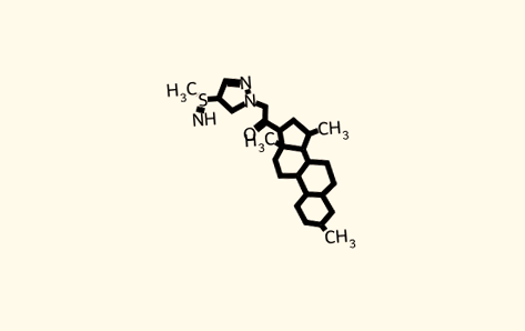 CC1CCC2C(CCC3C2CCC2(C)C(C(=O)CN4CC(S(C)=N)C=N4)CC(C)C32)C1